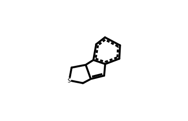 [CH]1SCC2C1=Cc1ccccc12